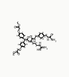 COC(=O)COc1ccc(C(C(=O)N[C@H](CCCNC(=N)N)C(=O)NCc2ccc(CNC(N)=O)cc2)c2ccc(OCC(=O)OC)cc2)cc1